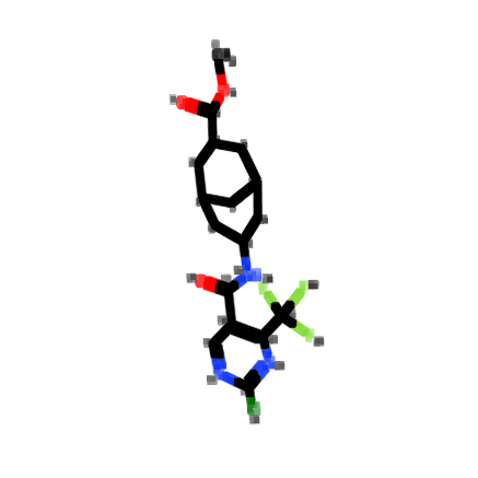 COC(=O)C1CC2CC(CC(NC(=O)c3cnc(Cl)nc3C(F)(F)F)C2)C1